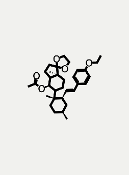 CCOc1ccc(/C=C/[C@H]2C[C@@H](C)CC[C@]2(C)C2CC[C@@]3(C)C(CCC34OCCO4)[C@@H]2OC(C)=O)cc1